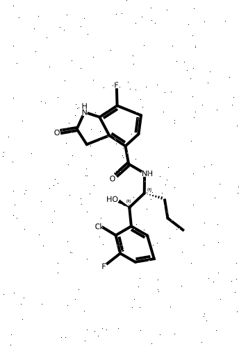 CCC[C@@H](NC(=O)c1ccc(F)c2c1CC(=O)N2)[C@H](O)c1cccc(F)c1Cl